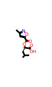 Cc1cc(C(=O)O[C@H](CC(C)C)C(=O)O)on1